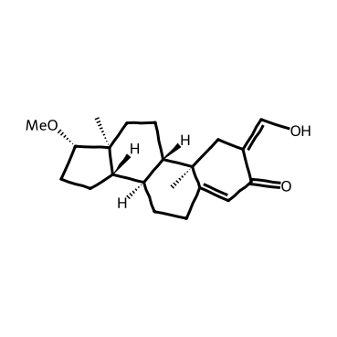 CO[C@H]1CC[C@H]2[C@@H]3CCC4=CC(=O)/C(=C\O)C[C@]4(C)[C@H]3CC[C@]12C